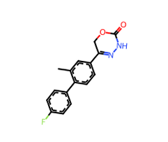 Cc1cc(C2=NNC(=O)OC2)ccc1-c1ccc(F)cc1